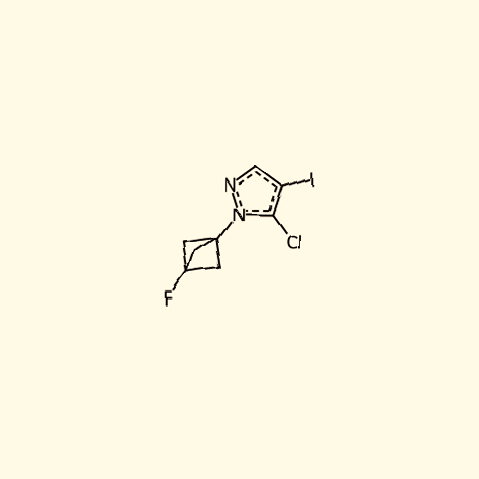 FC12CC(n3ncc(I)c3Cl)(C1)C2